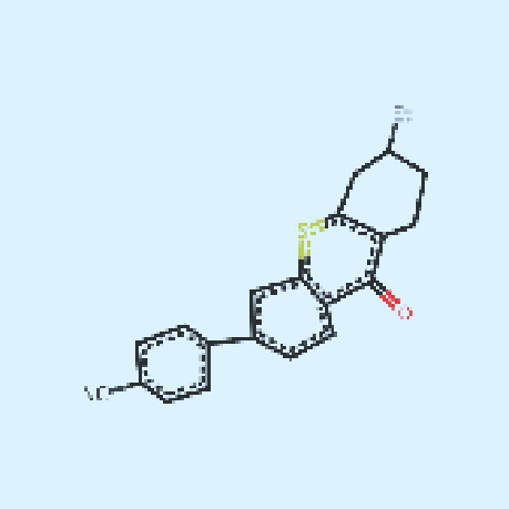 CCC1CCc2c(sc3cc(-c4ccc(C#N)cc4)ccc3c2=O)C1